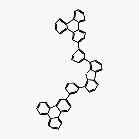 c1cc(-c2ccc3c4ccccc4c4ccccc4c3c2)cc(-c2cccc3c2sc2c(-c4cccc(-c5ccc6c7ccccc7c7ccccc7c6c5)c4)cccc23)c1